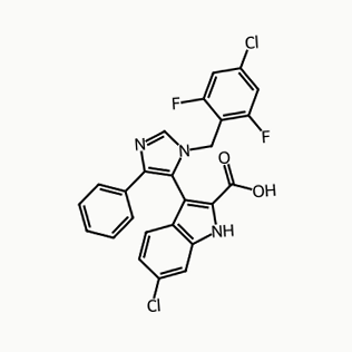 O=C(O)c1[nH]c2cc(Cl)ccc2c1-c1c(-c2ccccc2)ncn1Cc1c(F)cc(Cl)cc1F